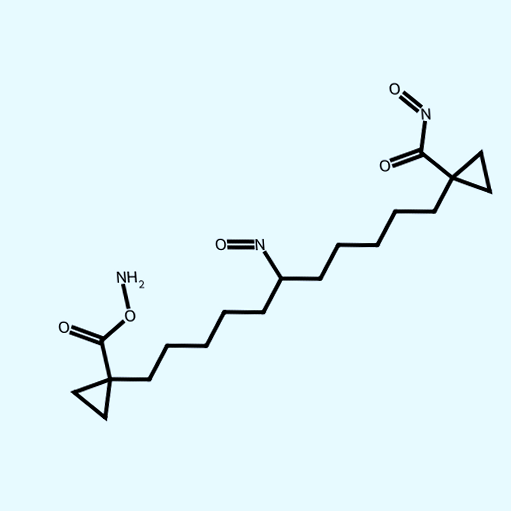 NOC(=O)C1(CCCCCC(CCCCCC2(C(=O)N=O)CC2)N=O)CC1